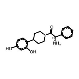 N[C@@H](C(=O)N1CCC(c2ccc(O)cc2O)CC1)c1ccccc1